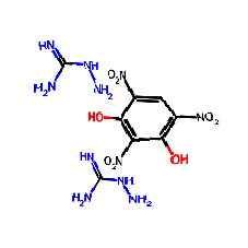 N=C(N)NN.N=C(N)NN.O=[N+]([O-])c1cc([N+](=O)[O-])c(O)c([N+](=O)[O-])c1O